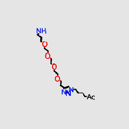 CC(=O)CCCCn1cc(CCOCCOCCOCCOCCC=N)nn1